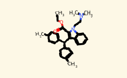 CCOC(=O)c1c(C(c2ccc(C)cc2)c2ccc(C)cc2)c2ccccc2n1CCN(C)C